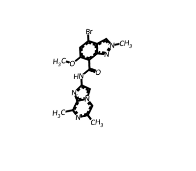 COc1cc(Br)c2cn(C)nc2c1C(=O)Nc1cn2cc(C)nc(C)c2n1